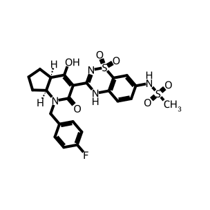 CS(=O)(=O)Nc1ccc2c(c1)S(=O)(=O)N=C(C1=C(O)[C@@H]3CCC[C@@H]3N(Cc3ccc(F)cc3)C1=O)N2